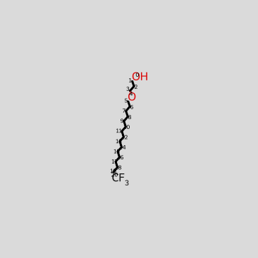 OCCCOCCCCCCCCCCCCCCCC(F)(F)F